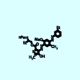 CCCCCC(CC)COC(=O)c1nn(C)c(O)c1/N=N/c1cc(C)c(/N=N/c2cccc(CC)c2)cc1OC